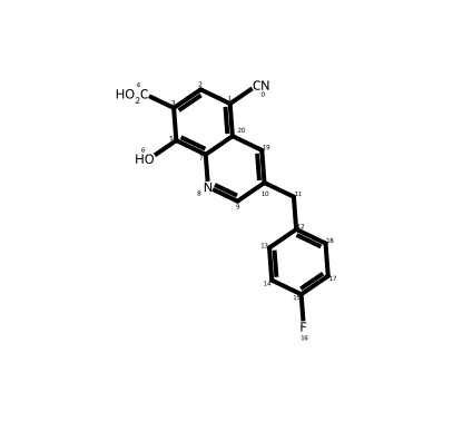 N#Cc1cc(C(=O)O)c(O)c2ncc(Cc3ccc(F)cc3)cc12